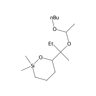 CCCCOC(C)OC(C)(CC)C1CCC[Si](C)(C)O1